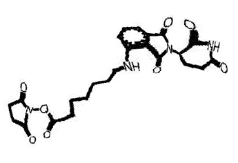 O=C1CCC(N2C(=O)c3cccc(NCCCCCCC(=O)ON4C(=O)CCC4=O)c3C2=O)C(=O)N1